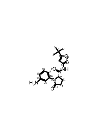 CC(C)(C)c1cc(NC(=O)[C@@H]2CCC(=O)N2c2cccc(N)c2)no1